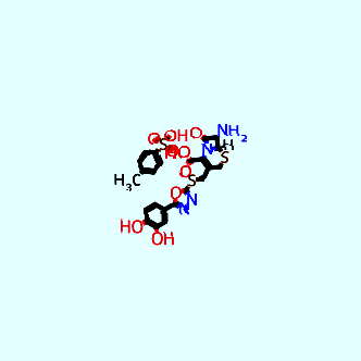 Cc1ccc(S(=O)(=O)O)cc1.N[C@@H]1C(=O)N2C(C(=O)O)=C(CSc3nnc(-c4ccc(O)c(O)c4)o3)CS[C@H]12